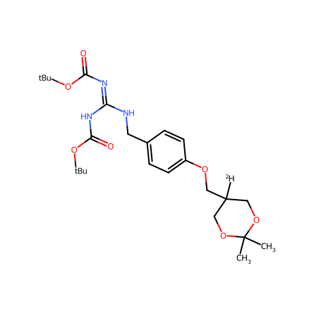 [2H]C1(COc2ccc(CNC(=NC(=O)OC(C)(C)C)NC(=O)OC(C)(C)C)cc2)COC(C)(C)OC1